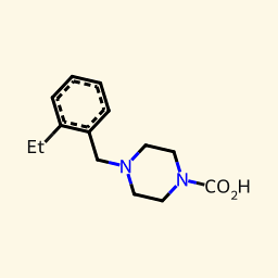 CCc1ccccc1CN1CCN(C(=O)O)CC1